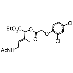 CCOC(=O)C(OC(=O)COc1ccc(Cl)cc1Cl)/C(C)=C/CNC(C)=O